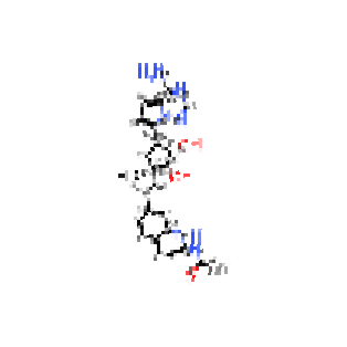 CCCC(=O)Nc1ccc2ccc(CC[C@@]3(C)C[C@@H](c4ccc5c(N)ncnn45)[C@H](O)[C@@H]3O)cc2n1